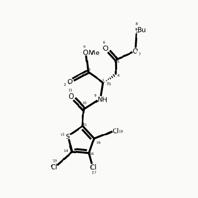 COC(=O)[C@H](CC(=O)OC(C)(C)C)NC(=O)c1sc(Cl)c(Cl)c1Cl